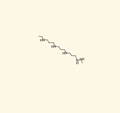 CCNCCCNCCCNCCCNNC